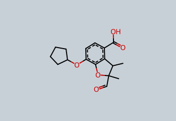 CC1c2c(C(=O)O)ccc(OC3CCCC3)c2OC1(C)C=O